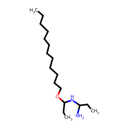 CCCCCCCCCCCCOC(CC)NC(N)CC